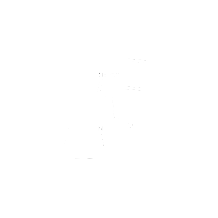 Cn1cc(C(=O)N2CCCCCC2)c2ccccc21